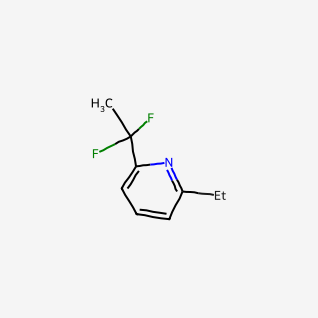 CCc1cccc(C(C)(F)F)n1